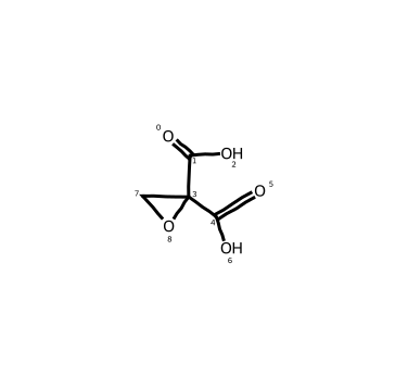 O=C(O)C1(C(=O)O)CO1